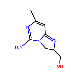 CC1=CC2=NC(CO)CN2C(N)=N1